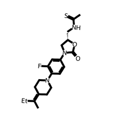 CCC(C)=C1CCN(c2ccc(N3C[C@H](CNC(C)=S)OC3=O)cc2F)CC1